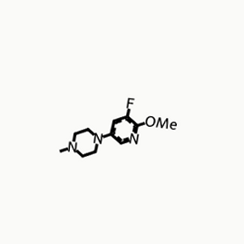 COc1ncc(N2CCN(C)CC2)cc1F